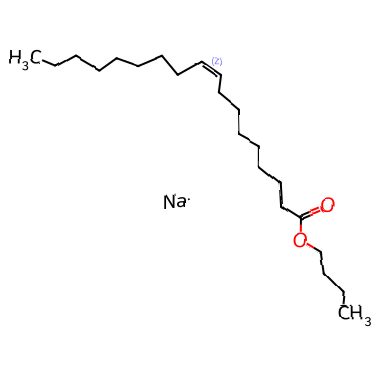 CCCCCCCC/C=C\CCCCCCCC(=O)OCCCC.[Na]